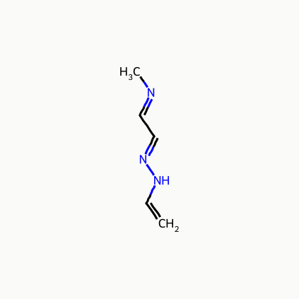 C=CN/N=C/C=N/C